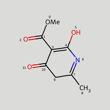 COC(=O)C1=C(O)N=C(C)CC1=O